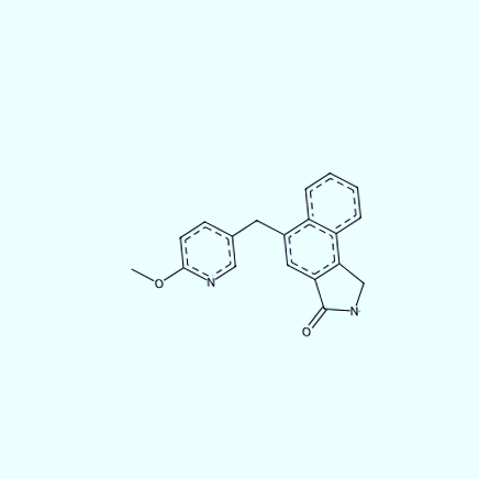 COc1ccc(Cc2cc3c(c4ccccc24)C[N]C3=O)cn1